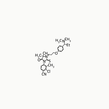 CCC(c1ccc(OCCCN2C(=S)N(c3ccc(C#N)c(Cl)c3C)C(=O)C2(C)C)cc1)N(C)C